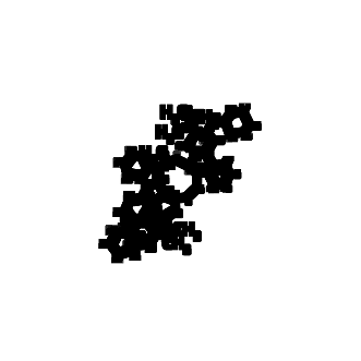 C=C1CC2C(CCc3cc4c(cc3-c3n(-c5ccc(-c6ccccc6)cc5)c5ccccc5[n+]31)-c1ccccc1C4(C)C)c1ccccc1-c1cc(CC3CCCCC3)c([Si](C)(C)C)c[n+]12